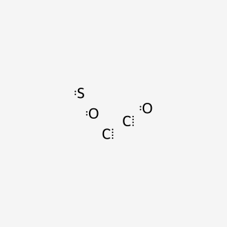 [C].[C].[O].[O].[S]